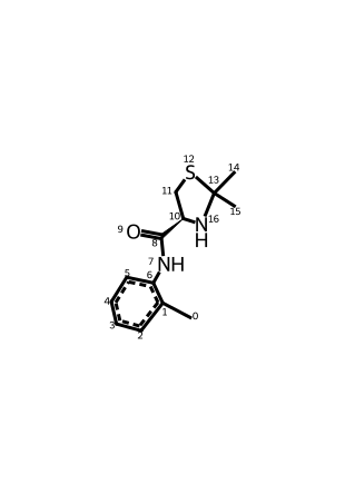 Cc1ccccc1NC(=O)[C@H]1CSC(C)(C)N1